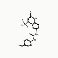 COc1ccc(NC(=S)Nc2ccc3[nH]c(=O)cc(C(F)(F)F)c3c2)cc1